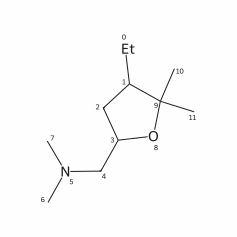 CCC1CC(CN(C)C)OC1(C)C